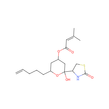 C=CCCCC1CC(OC(=O)C=C(C)C)CC(O)(C2CSC(=O)N2)O1